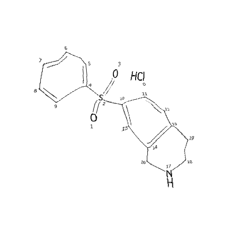 Cl.O=S(=O)(c1ccccc1)c1ccc2c(c1)CNCC2